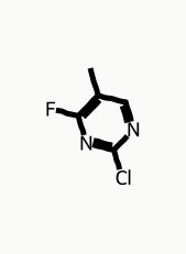 Cc1cnc(Cl)nc1F